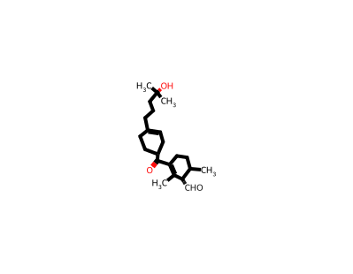 CC1=C(C(=O)C2CC=C(CCCC(C)(C)O)CC2)CCC(C)C1C=O